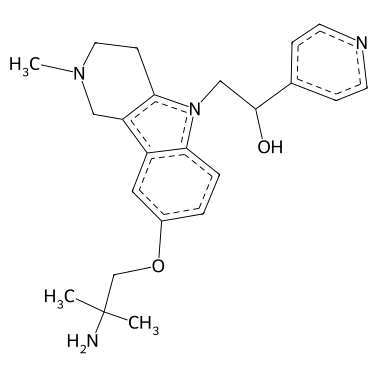 CN1CCc2c(c3cc(OCC(C)(C)N)ccc3n2CC(O)c2ccncc2)C1